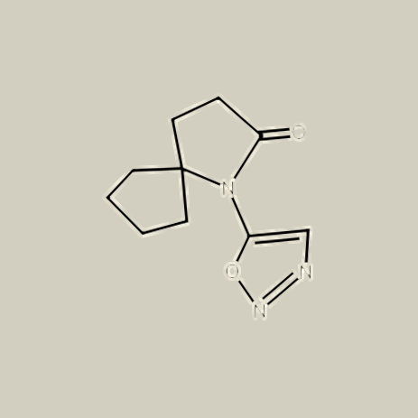 O=C1CCC2(CCCC2)N1c1cnno1